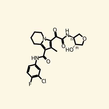 Cc1c(C(=O)Nc2ccc(F)c(Cl)c2)c2n(c1C(=O)C(=O)N[C@H]1COC[C@@H]1O)CCCC2